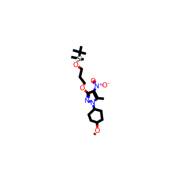 COC1CCC(n2nc(OCCCO[Si](C)(C)C(C)(C)C)c([N+](=O)[O-])c2C)CC1